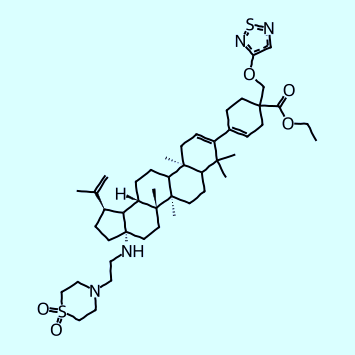 C=C(C)[C@@H]1CC[C@]2(NCCN3CCS(=O)(=O)CC3)CC[C@]3(C)[C@@H](CCC4[C@@]5(C)CC=C(C6=CCC(COc7cnsn7)(C(=O)OCC)CC6)C(C)(C)C5CC[C@]43C)C12